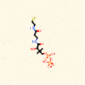 CC(C)(COP(=O)(O)OP(=O)(O)O)C(O)C(=O)NCCC(=O)NCCS